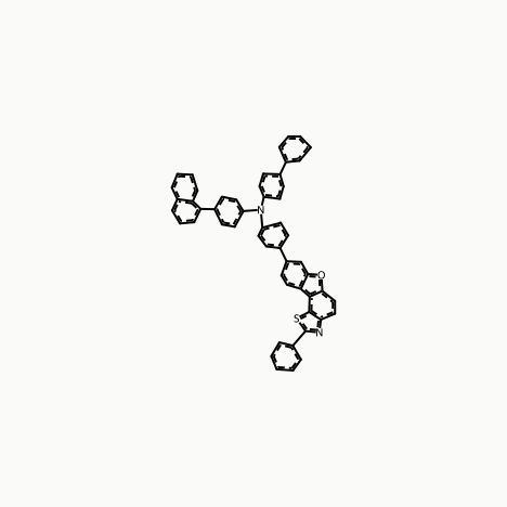 c1ccc(-c2ccc(N(c3ccc(-c4ccc5c(c4)oc4ccc6nc(-c7ccccc7)sc6c45)cc3)c3ccc(-c4cccc5ccccc45)cc3)cc2)cc1